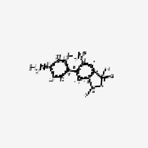 CC1CC(C)(C)c2cc(N)c(-c3ccc(N)cc3)cc21